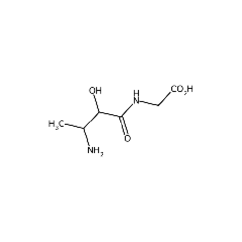 CC(N)C(O)C(=O)NCC(=O)O